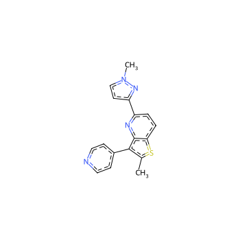 Cc1sc2ccc(-c3ccn(C)n3)nc2c1-c1ccncc1